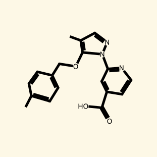 Cc1ccc(COc2c(C)cnn2-c2cc(C(=O)O)ccn2)cc1